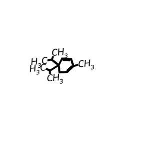 CC1=CCC(C(C)C)(C(C)C)C=C1